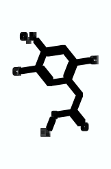 CCSC(=O)Cc1cc(Cl)c([N+](=O)[O-])cc1Cl